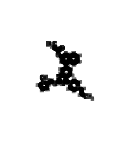 C=CC(=O)Oc1cc(C2CCc3c(nc(OCC4CCCN4C)nc3N3CCN(C=CC)CC3)C2)c2ccccc2c1